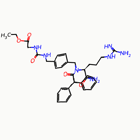 CCOC(=O)CNC(=O)NCc1ccc(CN(C(=O)C(c2ccccc2)c2ccccc2)[C@@H](CCCNC(=N)N)C(N)=O)cc1